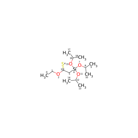 CCOC(=S)C[Si](OC(C)C)(OC(C)C)OC(C)C